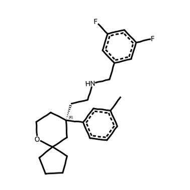 Cc1cccc([C@]2(CCNCc3cc(F)cc(F)c3)CCOC3(CCCC3)C2)c1